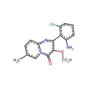 Cc1ccc2nc(-c3c(N)cccc3Cl)c(OC(=O)O)c(=O)n2c1